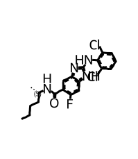 CCCC[C@H](C)NC(=O)c1cc2nc(Nc3c(Cl)cccc3Cl)[nH]c2cc1F